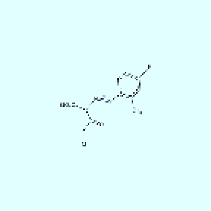 CCOC(=O)C(/N=N/c1ccc(F)cc1C)C(=O)CCl